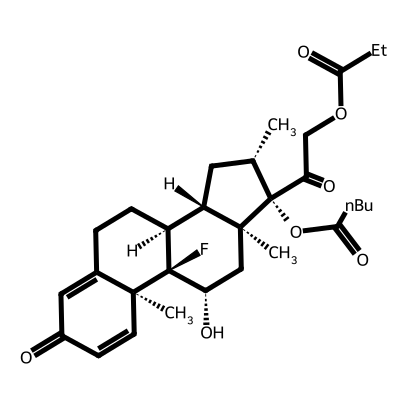 CCCCC(=O)O[C@@]1(C(=O)COC(=O)CC)[C@@H](C)C[C@H]2[C@@H]3CCC4=CC(=O)C=C[C@]4(C)[C@@]3(F)[C@@H](O)C[C@@]21C